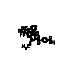 CCCN1CC2N(C(=O)[C@H]3CC[C@H](C(=O)O)CC3)CCC2(S(=O)(=O)c2ccccc2)c2ccc(C(F)(C(F)(F)F)C(F)(F)F)cc21